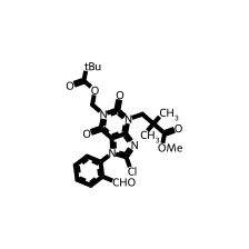 COC(=O)C(C)(C)Cn1c(=O)n(COC(=O)C(C)(C)C)c(=O)c2c1nc(Cl)n2-c1ccccc1C=O